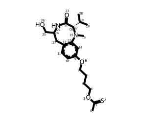 CC(=S)OCCCCOc1ccc2c(c1)N(C)[C@@H](C(C)C)C(=O)NC(CO)C2